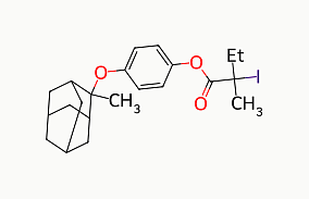 CCC(C)(I)C(=O)Oc1ccc(OC2(C)C3CC4CC(C3)CC2C4)cc1